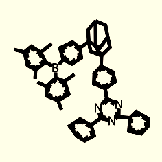 Cc1cc(C)c(B(c2ccc(C34CC5CC(C3)CC(c3ccc(-c6nc(-c7ccccc7)nc(-c7ccccc7)n6)cc3)(C5)C4)cc2)c2c(C)cc(C)cc2C)c(C)c1